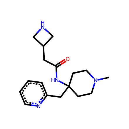 CN1CCC(Cc2ccccn2)(NC(=O)CC2CNC2)CC1